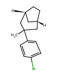 CC1(c2ccc(Br)cc2)C[C@@H]2CC[C@@H](C2)C1